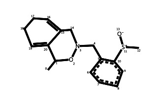 CC1ON(Cc2ccccc2[S+](C)[O-])CC2=CCCC=C21